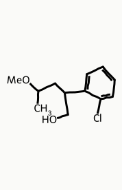 COC(C)CC(CO)c1ccccc1Cl